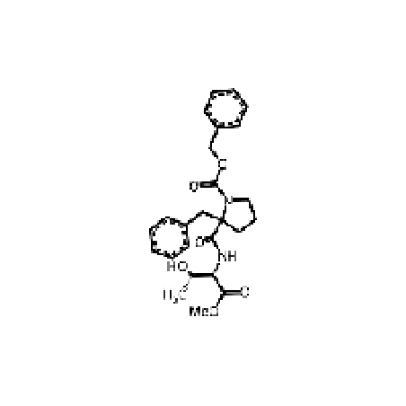 COC(=O)[C@H](NC(=O)C1(Cc2ccccc2)CCCN1C(=O)OCc1ccccc1)[C@H](C)O